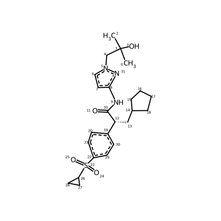 CC(C)(O)Cn1ccc(NC(=O)[C@H](CC2CCCC2)c2ccc(S(=O)(=O)C3CC3)cc2)n1